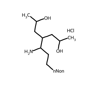 CCCCCCCCCCCC(N)C(CC(C)O)CC(C)O.Cl